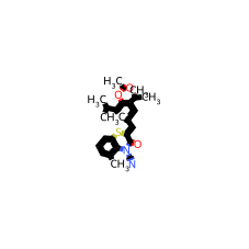 CC(=O)Oc1c(C(C)C)cc(C=C2Sc3cccc(C)c3N(C#N)C2=O)cc1C(C)C